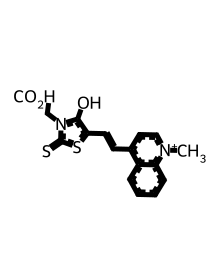 C[n+]1ccc(C=Cc2sc(=S)n(CC(=O)O)c2O)c2ccccc21